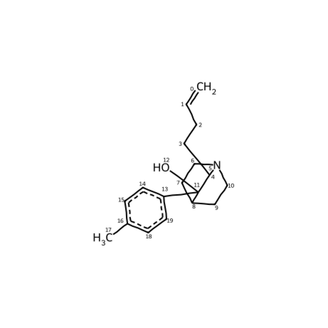 C=CCCC1N2CCC(CC2)C1(O)c1ccc(C)cc1